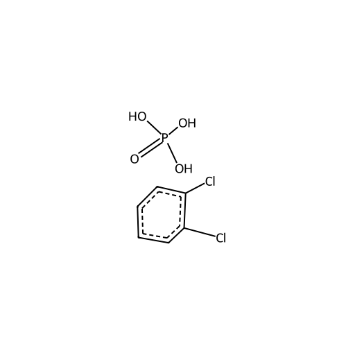 Clc1ccccc1Cl.O=P(O)(O)O